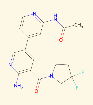 CC(=O)Nc1cc(-c2cnc(N)c(C(=O)N3CCC(F)(F)C3)c2)ccn1